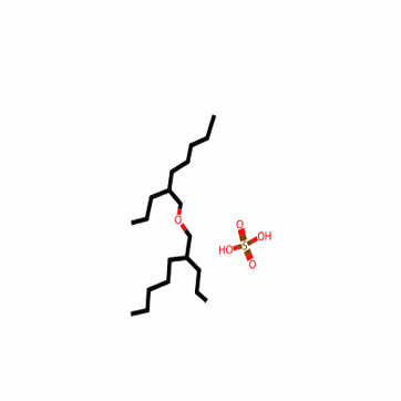 CCCCCC(CCC)COCC(CCC)CCCCC.O=S(=O)(O)O